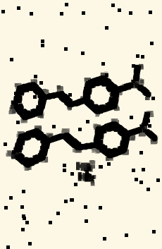 Br.Br.CN(C)c1ccc(C=Cc2ccncc2)cc1.CN(C)c1ccc(C=Cc2ccncc2)cc1